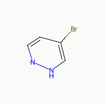 BrC1=CN[N]C=C1